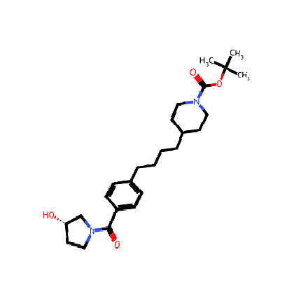 CC(C)(C)OC(=O)N1CCC(CCCCc2ccc(C(=O)N3CC[C@H](O)C3)cc2)CC1